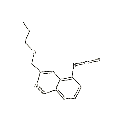 CCCOCc1cc2c(N=C=S)cccc2cn1